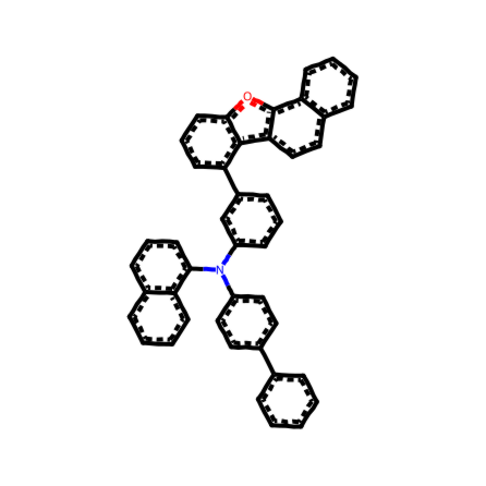 c1ccc(-c2ccc(N(c3cccc(-c4cccc5oc6c7ccccc7ccc6c45)c3)c3cccc4ccccc34)cc2)cc1